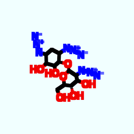 [N-]=[N+]=NC1CC(N=[N+]=[N-])[C@@H](O[C@H]2OC(CO)[C@@H](O)C(O)C2N=[N+]=[N-])C(O)C1O